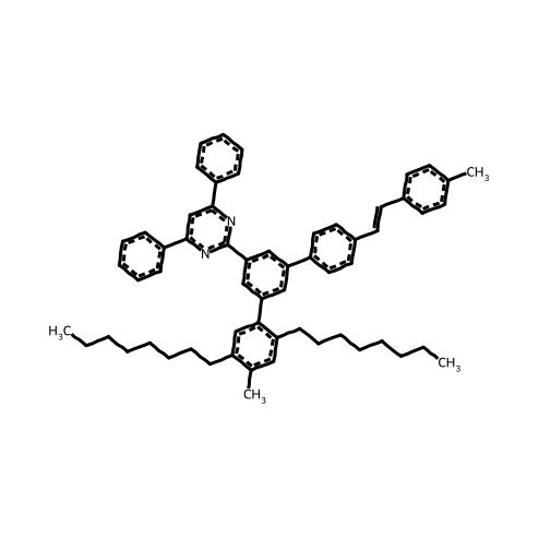 CCCCCCCCc1cc(-c2cc(-c3ccc(/C=C/c4ccc(C)cc4)cc3)cc(-c3nc(-c4ccccc4)cc(-c4ccccc4)n3)c2)c(CCCCCCCC)cc1C